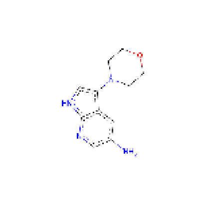 Nc1cnc2[nH]cc(N3CCOCC3)c2c1